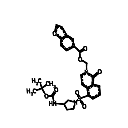 CC(C)(C)OC(=O)NC1CCN(S(=O)(=O)c2cccc3c(=O)n(COC(=O)c4ccc5occc5c4)ccc23)C1